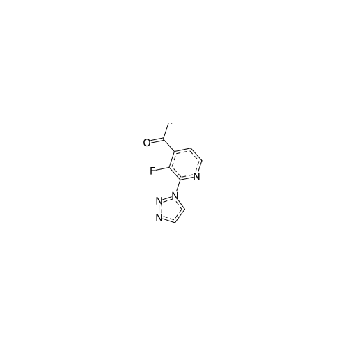 [CH2]C(=O)c1ccnc(-n2ccnn2)c1F